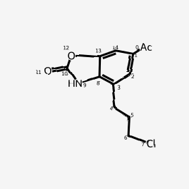 CC(=O)c1cc(CCCCl)c2[nH]c(=O)oc2c1